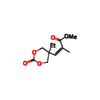 CCC1(C=C(C)C(=O)OC)COC(=O)OC1